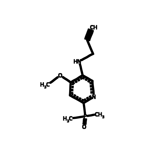 C#CCNc1cnc(P(C)(C)=O)cc1OC